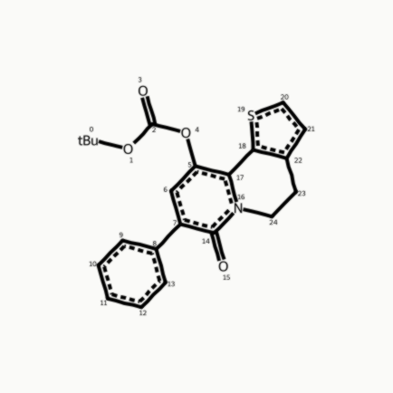 CC(C)(C)OC(=O)Oc1cc(-c2ccccc2)c(=O)n2c1-c1sccc1CC2